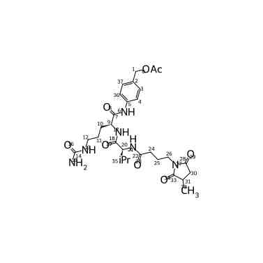 CC(=O)OCc1ccc(NC(=O)[C@H](CCCNC(N)=O)NC(=O)[C@@H](NC(=O)CCCN2C(=O)CC(C)C2=O)C(C)C)cc1